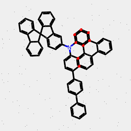 C1=CC2c3ccccc3C3(c4ccccc4-c4cc(N(c5ccc(-c6ccc(-c7ccccc7)cc6)cc5)c5ccccc5-c5ccccc5-c5ccccc5-c5ccccc5)ccc43)C2C=C1